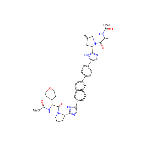 C=C1C[C@@H](c2ncc(-c3ccc(-c4ccc5cc(-c6cnc([C@@H]7CCCN7C(=O)C(NC(=O)OC)C7CCOCC7)[nH]6)ccc5c4)cc3)[nH]2)N(C(=O)C(C)NC(=O)OC)C1